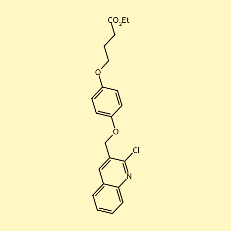 CCOC(=O)CCCOc1ccc(OCc2cc3ccccc3nc2Cl)cc1